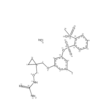 Cc1cc(OCC2(CONC(=N)N)CC2)cc(OS(=O)(=O)c2ccccc2S(C)(=O)=O)c1.Cl